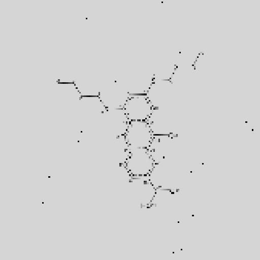 CCCCSc1cc(SCCCC)c2oc3ccc(C(=O)O)cc3c(=O)c2c1